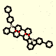 c1ccc(-c2ccc(N(c3ccc(-c4ccccc4)cc3)c3ccccc3-c3ccc(-c4ccc5c(c4)c4cccc6c7cc(-c8ccccc8)ccc7n5c64)cc3)cc2)cc1